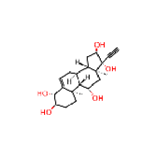 C#C[C@]1(O)[C@H](O)C[C@H]2[C@@H]3CC=C4[C@@H](O)[C@H](O)CC[C@]4(C)[C@H]3[C@@H](O)C[C@@]21C